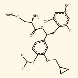 CSCC[C@@H](N)C(=O)O[C@@H](Cc1c(Cl)c[n+]([O-])cc1Cl)c1ccc(OC(F)F)c(OCC2CC2)c1